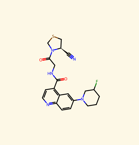 N#C[C@@H]1CSCN1C(=O)CNC(=O)c1ccnc2ccc(N3CCCC(F)C3)cc12